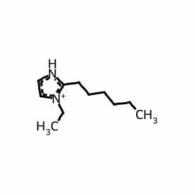 CCCCCCc1[nH]cc[n+]1CC